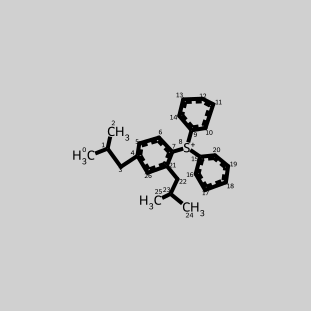 CC(C)Cc1ccc([S+](c2ccccc2)c2ccccc2)c(CC(C)C)c1